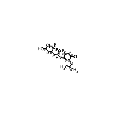 CC(C)Oc1cc(NC(=O)CC(CC(=O)O)C(F)(F)F)c(F)cc1Cl